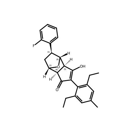 CCc1cc(C)cc(CC)c1C1=C(O)[C@@H]2[C@@H]3O[C@@H](C[C@H]3c3ccccc3F)[C@@H]2C1=O